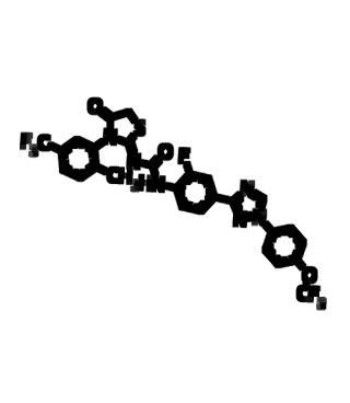 Cc1ccc(C(F)(F)F)cc1N1C(=O)CSC1=NC(=O)Nc1ccc(-c2ncn(-c3ccc(OC(F)(F)F)cc3)n2)cc1F